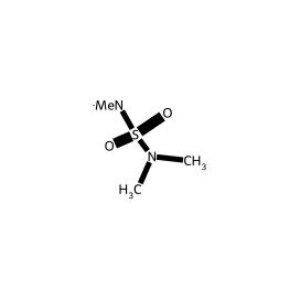 C[N]S(=O)(=O)N(C)C